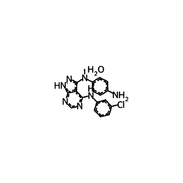 CN(c1ccc(N)cc1)c1n[nH]c2ncnc(Nc3cccc(Cl)c3)c12.O